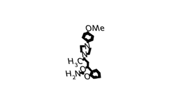 COc1ccc(N2CCN(C(C)CC(OC(N)=O)c3ccccc3)CC2)cc1